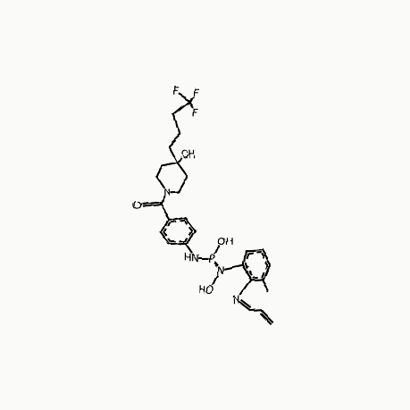 C=C/C=N\c1c(C)cccc1N(O)P(O)Nc1ccc(C(=O)N2CCC(O)(CCCC(F)(F)F)CC2)cc1